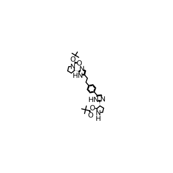 CC(C)(C)OC(=O)N1CCC[C@H]1c1ncc(CCc2ccc(-c3cnc([C@@H]4CCNC4OC(=O)C(C)(C)C)[nH]3)cc2)[nH]1